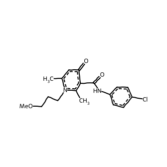 COCCCn1c(C)cc(=O)c(C(=O)Nc2ccc(Cl)cc2)c1C